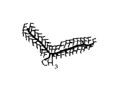 CC[CH]C(C(F)(F)C(F)(F)C(F)(F)C(F)(F)C(F)(F)C(F)(F)C(F)(F)C(F)(F)F)C(F)(F)C(F)(F)C(F)(F)C(F)(F)C(F)(F)C(F)(F)C(F)(F)C(F)(F)C(F)(F)C(F)(F)F